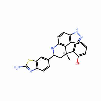 C[C@@]1(c2ccccc2O)CC(c2ccc3nc(N)sc3c2)Nc2ccc3[nH]ncc3c21